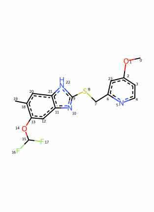 COc1ccnc(CSc2nc3cc(OC(F)F)c(C)cc3[nH]2)c1